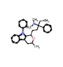 CCC(CCC1OC(C)Cc2c1n(-c1ccccc1)c1ccccc21)(c1ccccc1)N(C)C